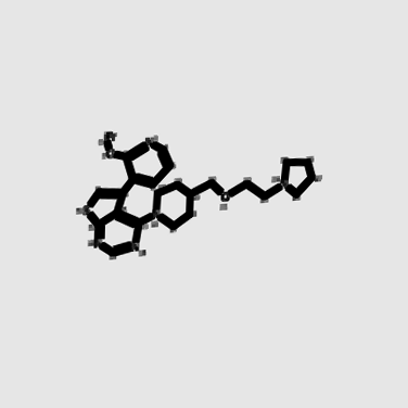 CC(C)Oc1ncccc1-c1csc2ncnc(N3CCC(COCCN4CCCC4)CC3)c12